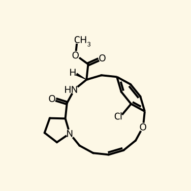 COC(=O)[C@@H]1Cc2ccc(c(Cl)c2)OCC=CCCN2CCCC2C(=O)N1